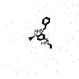 CCNSc1ccc(NC2CC2)c(NCc2ccccc2)c1